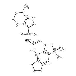 CC1CCOc2c(S(=O)(=O)NC(=O)Nc3c4c(nc5c3CCC5(C)C)CCC4)cnn21